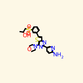 CC(O)CS(=O)(=O)c1cccc(-c2cc3nc(-c4ccc(N)nc4)nc(N4CCOCC4)c3s2)c1